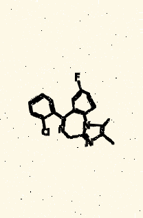 Cc1nc2n(c1C)-c1ccc(F)cc1C(c1ccccc1Cl)=NC2